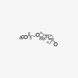 C=C(Cc1ccccc1)N/N=C(\C)C(=O)N[C@H]1COc2ccc(CCC(=O)Nc3ccc4[nH]ncc4c3)cc2N(C)C1=O